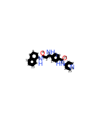 NC(CC(=O)N[C@@H]1CCCc2ccccc21)c1ccc(C(=O)Nc2ccncc2)cc1